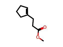 COC(=O)CCC1=CCCC1